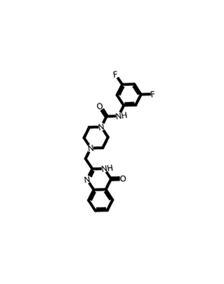 O=C(Nc1cc(F)cc(F)c1)N1CCN(Cc2nc3ccccc3c(=O)[nH]2)CC1